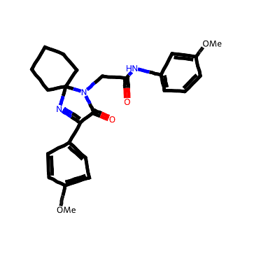 COc1ccc(C2=NC3(CCCCC3)N(CC(=O)Nc3cccc(OC)c3)C2=O)cc1